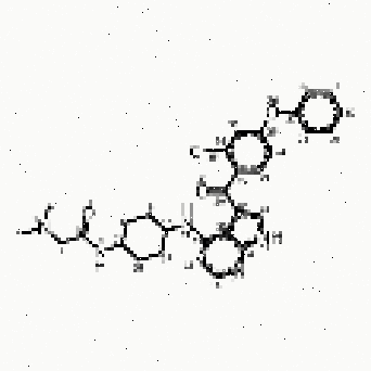 CN(C)CC(=O)NC1CCC(Nc2ncnc3[nH]cc(C(=O)c4ccc(Oc5ccccc5)cc4Cl)c23)CC1